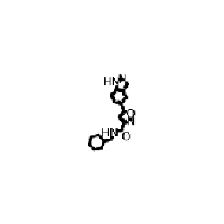 O=C(NCC1CCCCC1)c1cc(-c2ccc3[nH]ncc3c2)on1